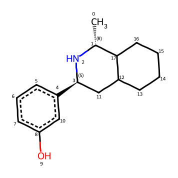 C[C@H]1N[C@H](c2cccc(O)c2)CC2CCCCC21